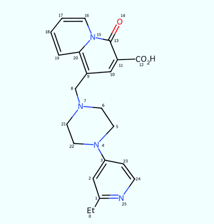 CCc1cc(N2CCN(Cc3cc(C(=O)O)c(=O)n4ccccc34)CC2)ccn1